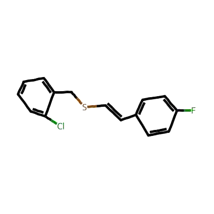 Fc1ccc(C=CSCc2ccccc2Cl)cc1